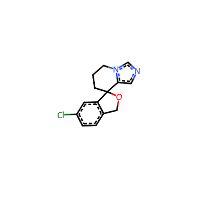 Clc1ccc2c(c1)C1(CCCn3cncc31)OC2